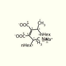 CCCCCCC(C)/C(C(=O)[O-])=C(/C(=O)[O-])C(C)CCCCCC.[Na+].[Na+]